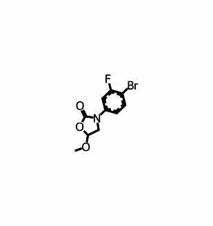 COC1CN(c2ccc(Br)c(F)c2)C(=O)O1